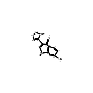 Cn1nnnc1-c1cn(C)c2cc(C#N)ccc2c1=O